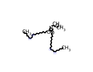 CCCCC/C=C\C/C=C\CCCCCCCCO[C@@H]1CN(CC(C)COC)C[C@H]1OCCCCCCCC/C=C\C/C=C\CCCCC